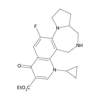 CCOC(=O)c1cn(C2CC2)c2c3c(c(F)cc2c1=O)N1CCCC1CNC3